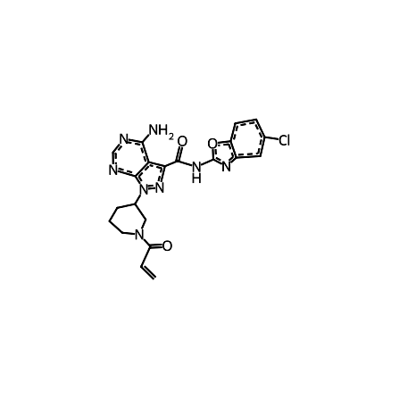 C=CC(=O)N1CCCC(n2nc(C(=O)Nc3nc4cc(Cl)ccc4o3)c3c(N)ncnc32)C1